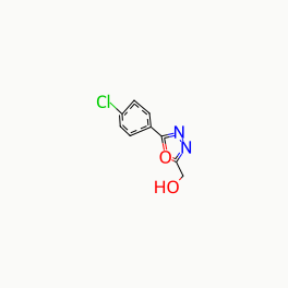 OCc1nnc(-c2ccc(Cl)cc2)o1